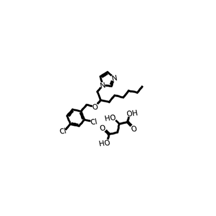 CCCCCCC(Cn1ccnc1)OCc1ccc(Cl)cc1Cl.O=C(O)CC(O)C(=O)O